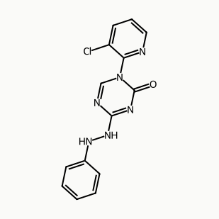 O=c1nc(NNc2ccccc2)ncn1-c1ncccc1Cl